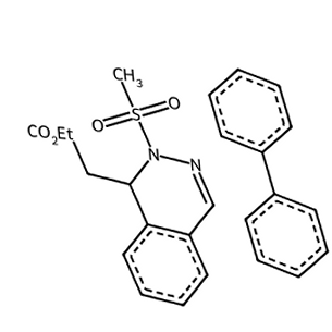 CCOC(=O)CC1c2ccccc2C=NN1S(C)(=O)=O.c1ccc(-c2ccccc2)cc1